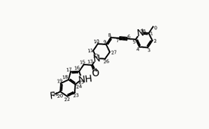 Cc1cccc(C#CC=C2CCN(C(=O)Cc3cc4cc(F)ccc4[nH]3)CC2)n1